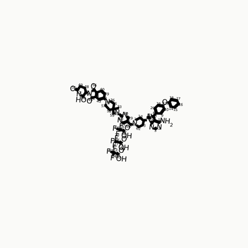 Nc1ncnc2c1c(-c1ccc(Oc3ccccc3)cc1)nn2C1CCN(Cc2cnc(N3CC4(CCN(c5ccc6c(c5)C(=O)N(C5CCC(=O)NC5=O)C6=O)CC4)C3)nc2)CC1.O=C(O)C(F)(F)F.O=C(O)C(F)(F)F.O=C(O)C(F)(F)F